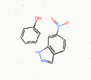 O=[N+]([O-])c1ccc2cn[nH]c2c1.Oc1ccccc1